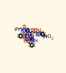 CC(C)C[C@H](N)C(=O)c1ccc([C](C(=O)CC(O)[C@@H](N)Cc2ccc([N+](=O)[O-])cc2)C(=O)[C@H](Cc2c[nH]cn2)NC(=O)[C@H](Cc2ccccc2)NC(=O)OCc2ccccc2)cc1